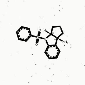 N[C@]12CCC[C@H]1N(S(=O)(=O)c1ccccc1)c1ccccc12